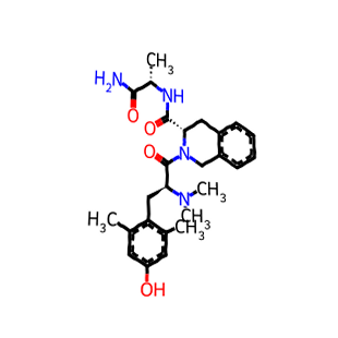 Cc1cc(O)cc(C)c1C[C@@H](C(=O)N1Cc2ccccc2C[C@H]1C(=O)N[C@@H](C)C(N)=O)N(C)C